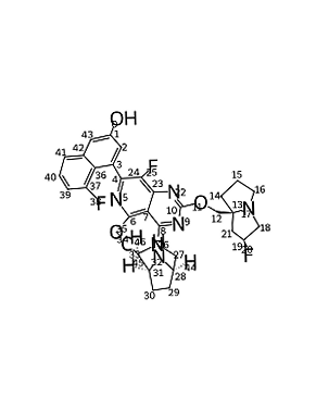 Oc1cc(-c2nc3c4c(nc(OC[C@@]56CCCN5C[C@@H](F)C6)nc4c2F)N2C[C@H]4CC[C@H](N4)[C@H]2CO3)c2c(F)cccc2c1